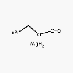 CCCCOC=O.[MgH2]